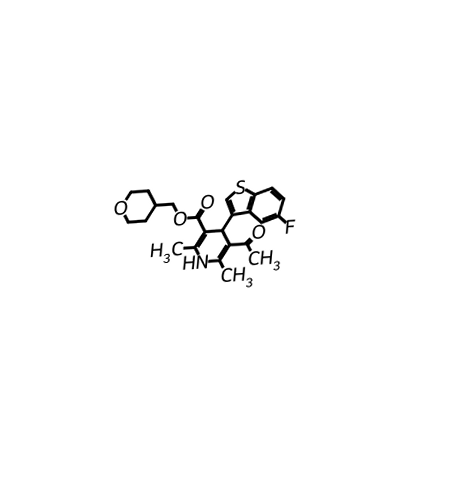 CC(=O)C1=C(C)NC(C)=C(C(=O)OCC2CCOCC2)C1c1csc2ccc(F)cc12